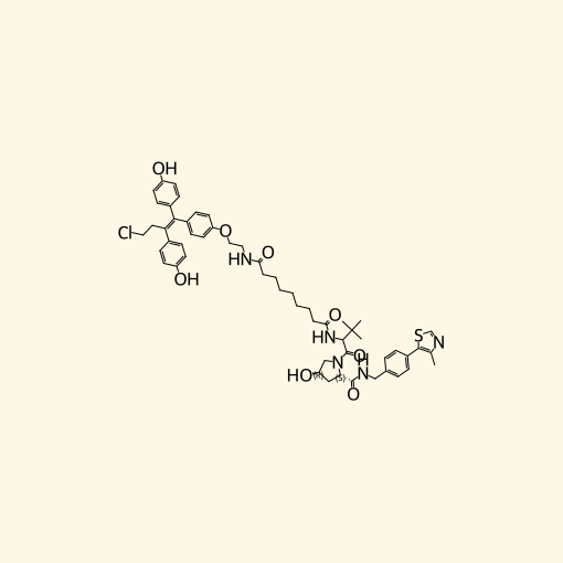 Cc1ncsc1-c1ccc(CNC(=O)[C@@H]2C[C@@H](O)CN2C(=O)C(NC(=O)CCCCCCCC(=O)NCCOc2ccc(C(=C(CCCl)c3ccc(O)cc3)c3ccc(O)cc3)cc2)C(C)(C)C)cc1